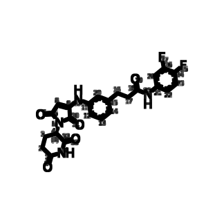 O=C1CC[C@@H](N2C(=O)C=C(Nc3cccc(CCC(=O)Nc4ccc(F)c(F)c4)c3)C2=O)C(=O)N1